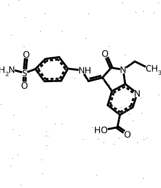 CCN1C(=O)C(=CNc2ccc(S(N)(=O)=O)cc2)c2cc(C(=O)O)cnc21